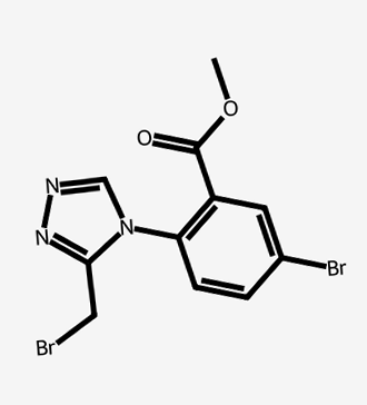 COC(=O)c1cc(Br)ccc1-n1cnnc1CBr